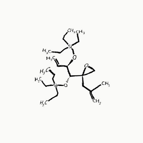 C=C[C@@H](O[Si](CC)(CC)CC)[C@@H](O[Si](CC)(CC)CC)[C@@]1(CC(=C)C)CO1